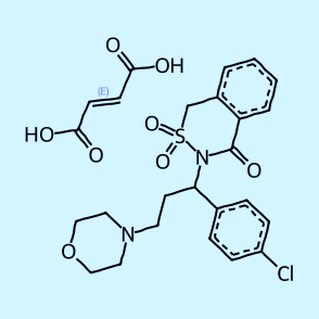 O=C(O)/C=C/C(=O)O.O=C1c2ccccc2CS(=O)(=O)N1C(CCN1CCOCC1)c1ccc(Cl)cc1